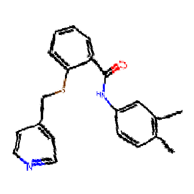 Cc1ccc(NC(=O)c2ccccc2SCc2ccncc2)cc1C